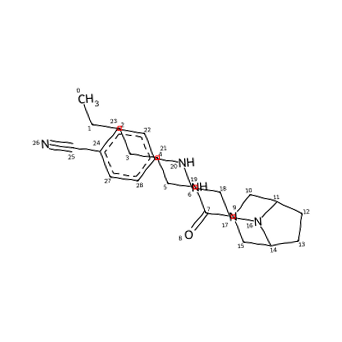 CCCCCCNC(=O)N1CC2CCC(C1)N2CCCNc1ccc(C#N)cc1